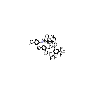 COc1ccc(/C=N/NC(=O)c2nccnc2C(C)N(Cc2ccc(OC)cc2OC)C(=O)c2cc(C(F)(F)F)cc(C(F)(F)F)c2)cc1